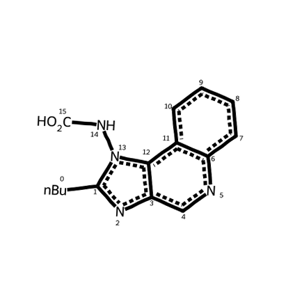 CCCCc1nc2cnc3ccccc3c2n1NC(=O)O